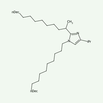 CCCCCCCCCCCCCCCCCCCn1cc(C(C)C)nc1C(C)CCCCCCCCCCCCCCCCC